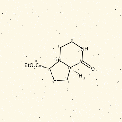 CCOC(=O)[C@H]1CC[C@@H]2C(=O)NCCN21